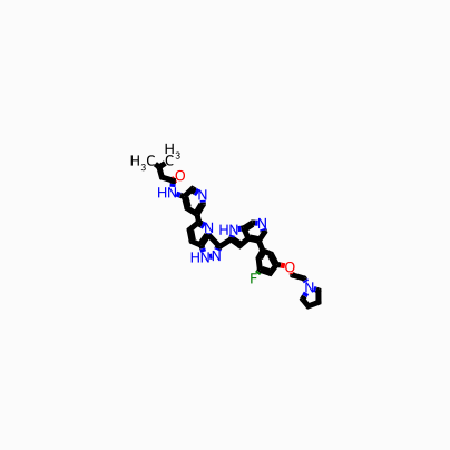 CC(C)CC(=O)Nc1cncc(-c2ccc3[nH]nc(-c4cc5c(-c6cc(F)cc(OCCN7CCCC7)c6)cncc5[nH]4)c3n2)c1